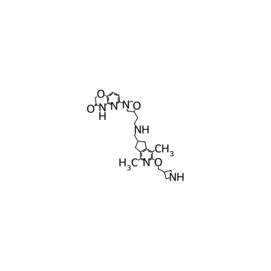 Cc1nc(OCC2CNC2)c(C)c2c1CC(CNCCC1CN(c3ccc4c(n3)NC(=O)CO4)CO1)C2